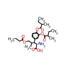 CCCC(=O)OCC(C)C(c1ccc(OC(=O)C(C)CC)c(OC(=O)C(C)CC)c1)[C@H](N)C(=O)O